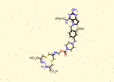 CCCCCNc1nc(N)nc2ccn(Cc3ccc(CN4CCN(C(=O)OC/N=C(/CSCC(N)C(=O)O)CSC[C@H](N)C(=O)O)CC4)cc3OC)c12